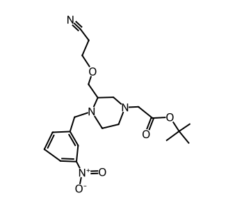 CC(C)(C)OC(=O)CN1CCN(Cc2cccc([N+](=O)[O-])c2)C(COCCC#N)C1